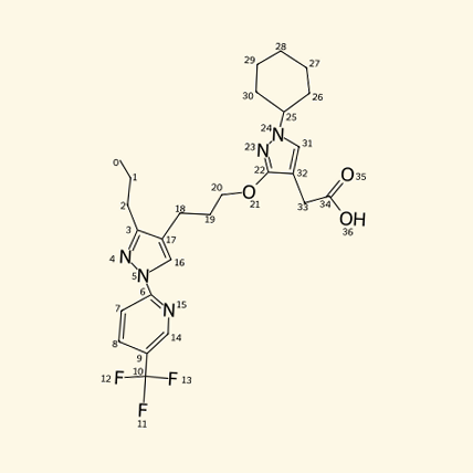 CCCc1nn(-c2ccc(C(F)(F)F)cn2)cc1CCCOc1nn(C2CCCCC2)cc1CC(=O)O